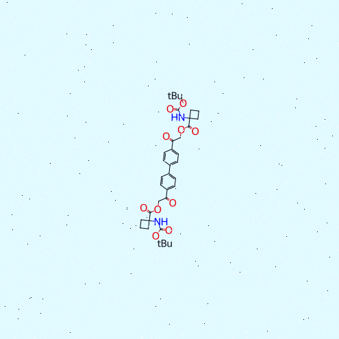 CC(C)(C)OC(=O)NC1(C(=O)OCC(=O)c2ccc(-c3ccc(C(=O)COC(=O)C4(NC(=O)OC(C)(C)C)CCC4)cc3)cc2)CCC1